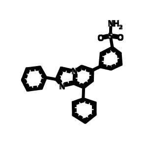 NS(=O)(=O)c1cccc(-c2cc(-c3ccccc3)c3nc(-c4ccccc4)cn3c2)c1